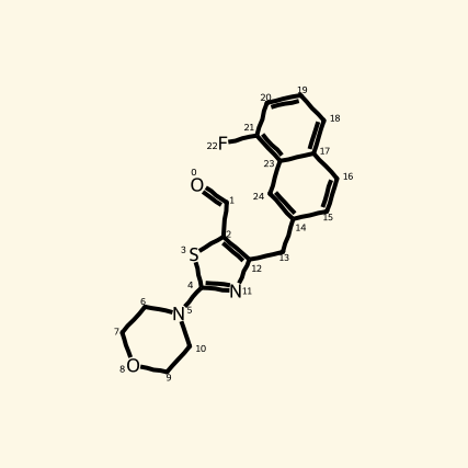 O=Cc1sc(N2CCOCC2)nc1Cc1ccc2cccc(F)c2c1